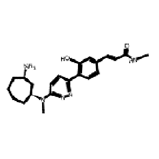 CNC(=O)/C=C/c1ccc(-c2ccc(N(C)[C@H]3CCCC[C@@H](N)C3)nn2)c(O)c1